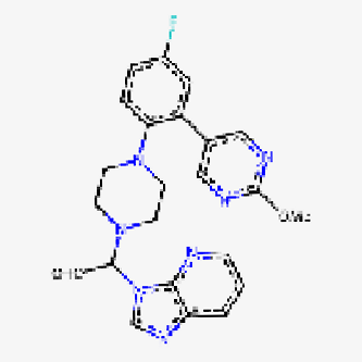 COc1ncc(-c2cc(F)ccc2N2CCN(C(C=O)n3cnc4cccnc43)CC2)cn1